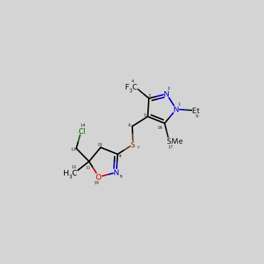 CCn1nc(C(F)(F)F)c(CSC2=NOC(C)(CCl)C2)c1SC